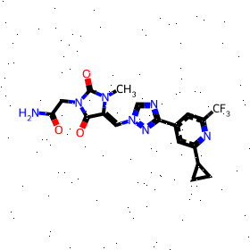 CN1C(=O)N(CC(N)=O)C(=O)/C1=C/n1cnc(-c2cc(C3CC3)nc(C(F)(F)F)c2)n1